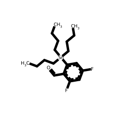 CCC[CH2][Sn]([CH2]CCC)([CH2]CCC)[c]1cc(F)cc(F)c1C=O